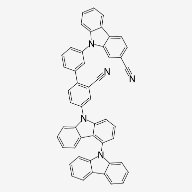 N#Cc1ccc2c3ccccc3n(-c3cccc(-c4ccc(-n5c6ccccc6c6c(-n7c8ccccc8c8ccccc87)cccc65)cc4C#N)c3)c2c1